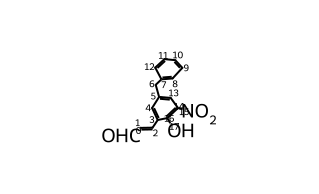 O=CC=Cc1cc(Cc2ccccc2)cc([N+](=O)[O-])c1O